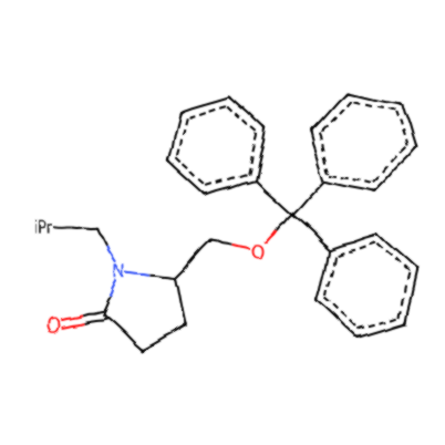 CC(C)CN1C(=O)CCC1COC(c1ccccc1)(c1ccccc1)c1ccccc1